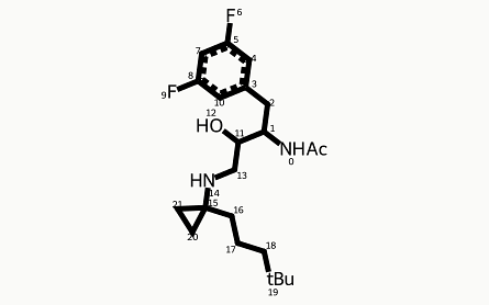 CC(=O)NC(Cc1cc(F)cc(F)c1)C(O)CNC1(CCCC(C)(C)C)CC1